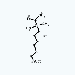 CCCCCCCCCCCCCC[N+](C)(C)C(N)CC.[Br-]